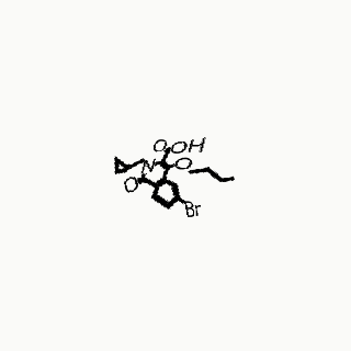 CCCCOc1c(C(=O)O)n(CC2CC2)c(=O)c2ccc(Br)cc12